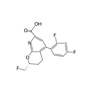 O=C(O)c1cc(-c2ccc(F)cc2F)c2c(n1)O[C@@H](CF)CC2